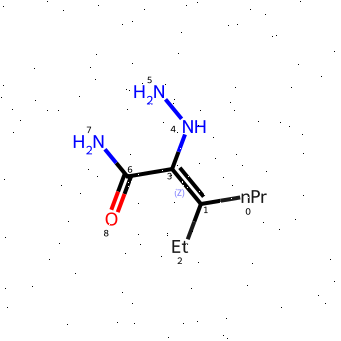 CCC/C(CC)=C(\NN)C(N)=O